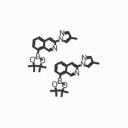 Cc1cnn(-c2cc3cccc(B4OC(C)(C)C(C)(C)O4)c3cn2)c1.Cc1cnn(-c2cc3cccc(B4OC(C)(C)C(C)(C)O4)c3cn2)c1